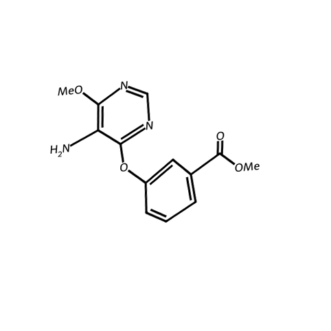 COC(=O)c1cccc(Oc2ncnc(OC)c2N)c1